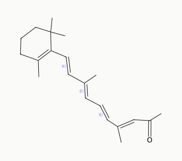 CC(=O)C=C(C)/C=C/C=C(C)/C=C/C1=C(C)CCCC1(C)C